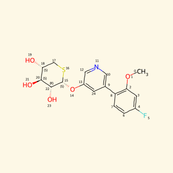 COc1cc(F)ccc1-c1cncc(O[C@H]2SC[C@@H](O)[C@H](O)[C@H]2O)c1